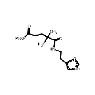 COC(=O)CCC(C)(C)C(=O)NCCc1c[nH]cn1